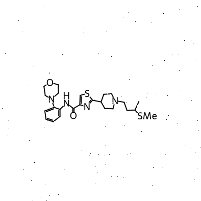 CSC(C)CCN1CCC(c2nc(C(=O)Nc3ccccc3N3CCOCC3)cs2)CC1